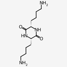 NCCCC[C@@H]1NC(=O)[C@H](CCCCN)NC1=O